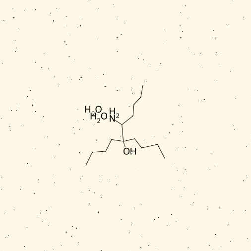 CCCCC(N)C(O)(CCCC)CCCC.O.O